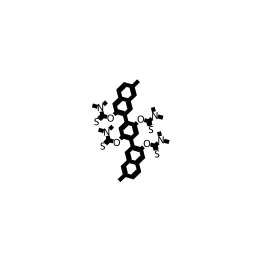 Cc1ccc2cc(OC(=S)N(C)C)c(-c3cc(OC(=S)N(C)C)c(-c4cc5cc(C)ccc5cc4OC(=S)N(C)C)cc3OC(=S)N(C)C)cc2c1